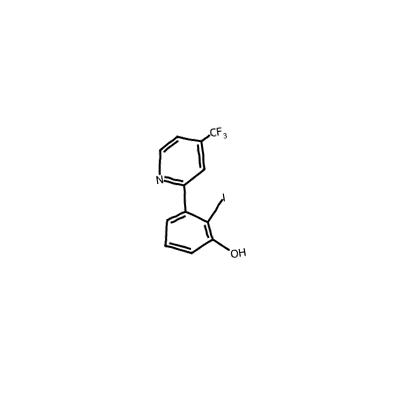 Oc1cccc(-c2cc(C(F)(F)F)ccn2)c1I